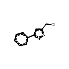 ClCc1cc(-c2ccccc2)ns1